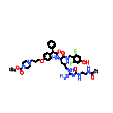 CCC(=O)NCCNC(=O)/N=C(/N)NCCC[C@@H](NC(=O)C(c1ccccc1)c1ccc(OCCCN2CCN(C(=O)OC(C)(C)C)CC2)cc1)C(=O)NCc1c(F)cc(O)cc1F